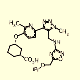 Cc1nc(-c2nnn(C)c2CNc2noc(COC(C)C)n2)ccc1O[C@H]1CCC[C@H](C(=O)O)C1